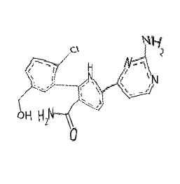 NC(=O)c1cc(-c2ccnc(N)n2)[nH]c1-c1cc(CO)ccc1Cl